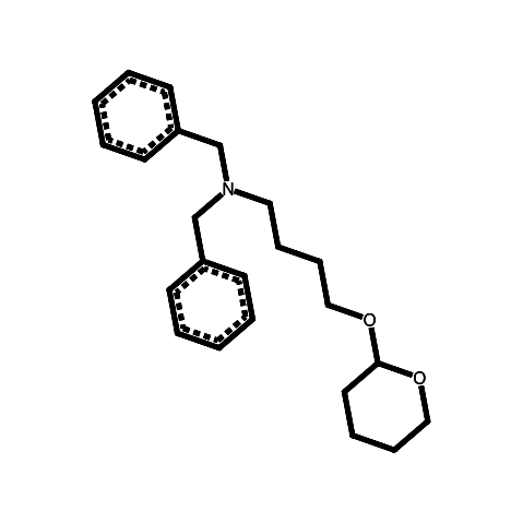 c1ccc(CN(CCCCOC2CCCCO2)Cc2ccccc2)cc1